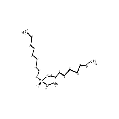 CCCCCCCCOP(=S)([O][Mo])SCCCCCCCC